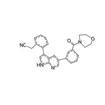 N#CCc1ccccc1-c1c[nH]c2ncc(-c3cccc(C(=O)N4CCOCC4)c3)cc12